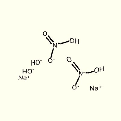 O=[N+]([O-])O.O=[N+]([O-])O.[Na+].[Na+].[OH-].[OH-]